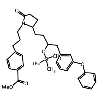 COC(=O)c1ccc(CCCN2C(=O)CCC2CCC(Cc2cccc(Oc3ccccc3)c2)O[Si](C)(C)C(C)(C)C)cc1